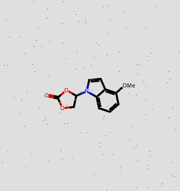 COc1cccc2c1ccn2C1COC(=O)O1